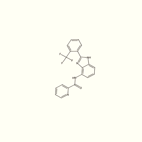 O=C(Nc1cccc2[nH]c(-c3ccccc3C(F)(F)F)nc12)c1ccccn1